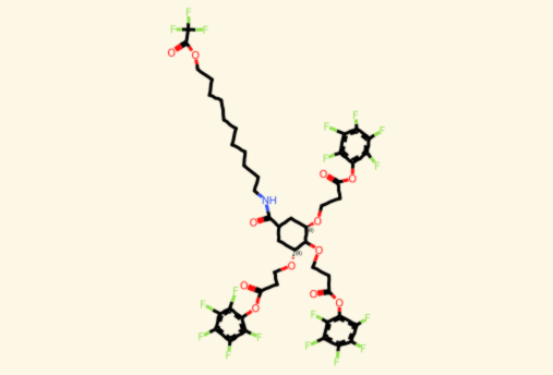 O=C(CCOC1[C@H](OCCC(=O)Oc2c(F)c(F)c(F)c(F)c2F)CC(C(=O)NCCCCCCCCCCCOC(=O)C(F)(F)F)C[C@H]1OCCC(=O)Oc1c(F)c(F)c(F)c(F)c1F)Oc1c(F)c(F)c(F)c(F)c1F